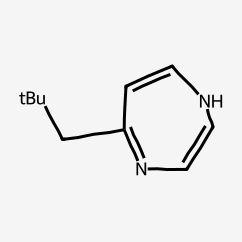 CC(C)(C)CC1=NC=CNC=C1